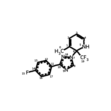 CC1=CC=CNC1(n1cnc(-c2ccc(F)cc2)n1)C(F)(F)F